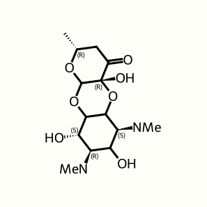 CN[C@@H]1C2O[C@@]3(O)C(=O)C[C@@H](C)OC3OC2[C@@H](O)[C@H](NC)C1O